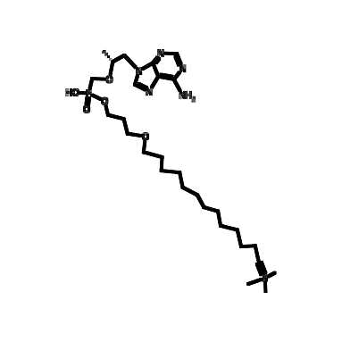 C[C@H](Cn1cnc2c(N)ncnc21)OCP(=O)(O)OCCCOCCCCCCCCCCCCC#S(C)(C)C